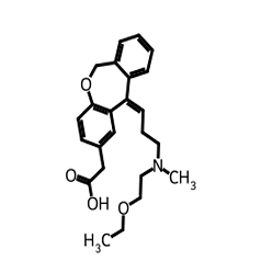 CCOCCN(C)CC/C=C1/c2ccccc2COc2ccc(CC(=O)O)cc21